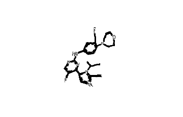 Cc1ncc(-c2nc(Nc3ccc(N4CCOCC4)c(F)c3)ncc2F)n1C(C)C